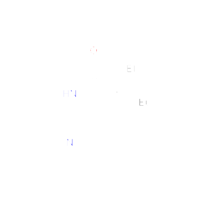 CCC1(CC)C(=O)Nc2ncccc21